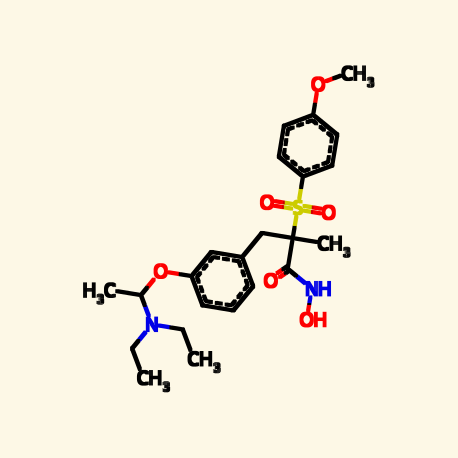 CCN(CC)C(C)Oc1cccc(CC(C)(C(=O)NO)S(=O)(=O)c2ccc(OC)cc2)c1